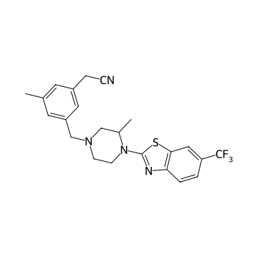 Cc1cc(CC#N)cc(CN2CCN(c3nc4ccc(C(F)(F)F)cc4s3)C(C)C2)c1